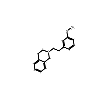 COc1cccc(CCN2CCc3ccccc3C2)c1